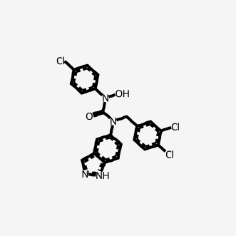 O=C(N(O)c1ccc(Cl)cc1)N(Cc1ccc(Cl)c(Cl)c1)c1ccc2[nH]ncc2c1